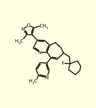 Cc1ccc(C2=CC(CC3(F)CCCCC3)CCc3cc(-c4c(C)noc4C)cnc32)cn1